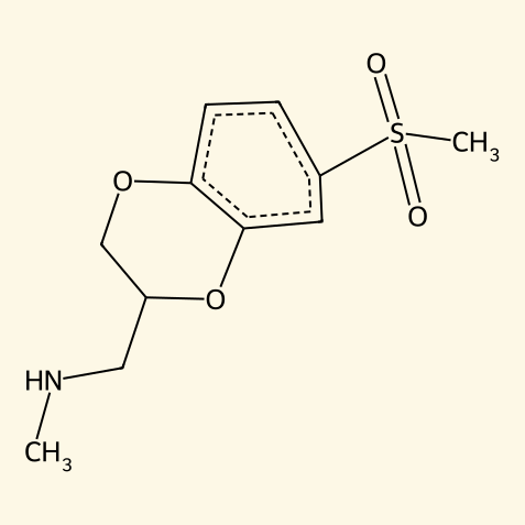 CNCC1COc2ccc(S(C)(=O)=O)cc2O1